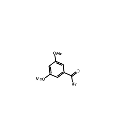 COc1cc(OC)cc(C(=O)C(C)C)c1